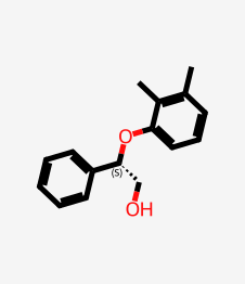 Cc1cccc(O[C@H](CO)c2ccccc2)c1C